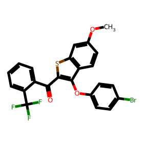 COc1ccc2c(Oc3ccc(Br)cc3)c(C(=O)c3ccccc3C(F)(F)F)sc2c1